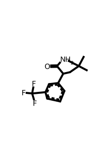 CC(C)(C)C[C](C(N)=O)c1cccc(C(F)(F)F)c1